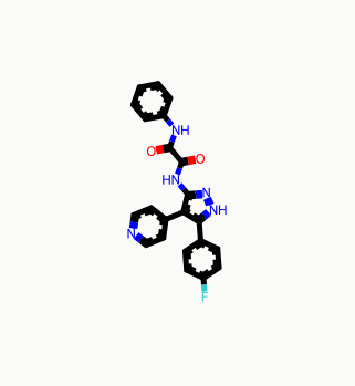 O=C(Nc1ccccc1)C(=O)Nc1n[nH]c(-c2ccc(F)cc2)c1-c1ccncc1